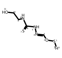 [3H]SOC=NNC(=S)NCCO